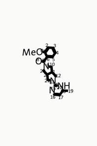 COc1ccccc1C(=O)N1CC2CN(C3=NC=CC(C)N3)CC2C1